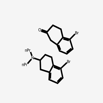 CCCN(CCC)C1CCc2c(Br)cccc2C1.O=C1CCc2c(Br)cccc2C1